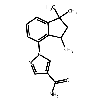 CC1CC(C)(C)c2cccc(-n3cc(C(N)=O)cn3)c21